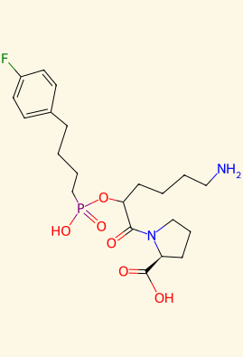 NCCCCC(OP(=O)(O)CCCCc1ccc(F)cc1)C(=O)N1CCC[C@H]1C(=O)O